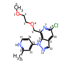 COCCOCc1nc(Cl)cc2cnn(-c3ccnc(C)c3)c12